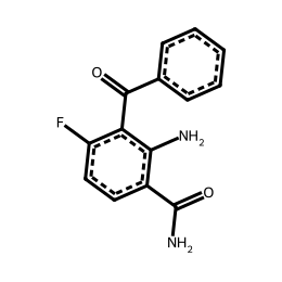 NC(=O)c1ccc(F)c(C(=O)c2ccccc2)c1N